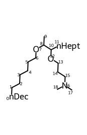 CCCCCCCCCCCCCCCCOC(C)C(CCCCCCC)OCCCN(C)C